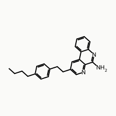 CCCCc1ccc(CCc2cnc3c(N)nc4ccccc4c3c2)cc1